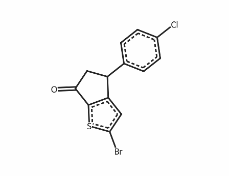 O=C1CC(c2ccc(Cl)cc2)c2cc(Br)sc21